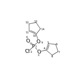 O=P(Cl)(OC1=CCCC1)OC1=CCCC1